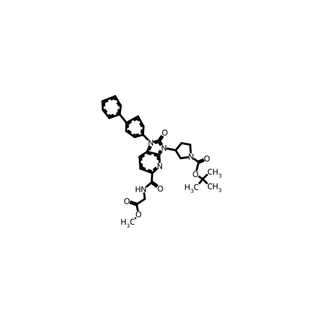 COC(=O)CNC(=O)c1ccc2c(n1)n(C1CCN(C(=O)OC(C)(C)C)C1)c(=O)n2-c1ccc(-c2ccccc2)cc1